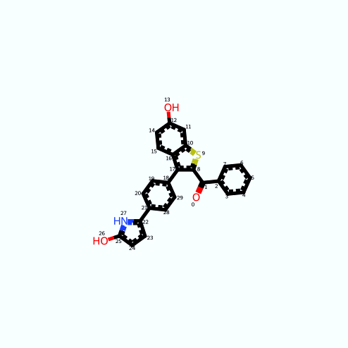 O=C(c1ccccc1)c1sc2cc(O)ccc2c1-c1ccc(-c2ccc(O)[nH]2)cc1